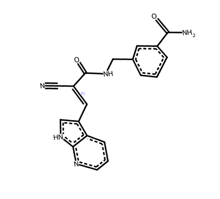 N#C/C(=C\c1c[nH]c2ncccc12)C(=O)NCc1cccc(C(N)=O)c1